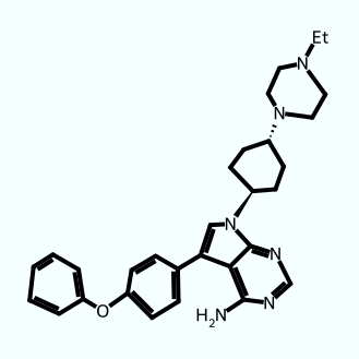 CCN1CCN([C@H]2CC[C@H](n3cc(-c4ccc(Oc5ccccc5)cc4)c4c(N)ncnc43)CC2)CC1